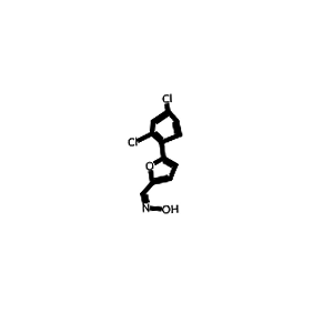 O/N=C\c1ccc(-c2ccc(Cl)cc2Cl)o1